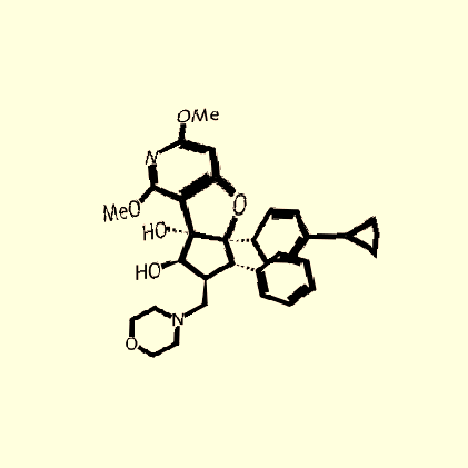 COc1cc2c(c(OC)n1)[C@]1(O)[C@H](O)[C@H](CN3CCOCC3)[C@@H](c3ccccc3)[C@]1(C1C=CC(C3CC3)=CC1)O2